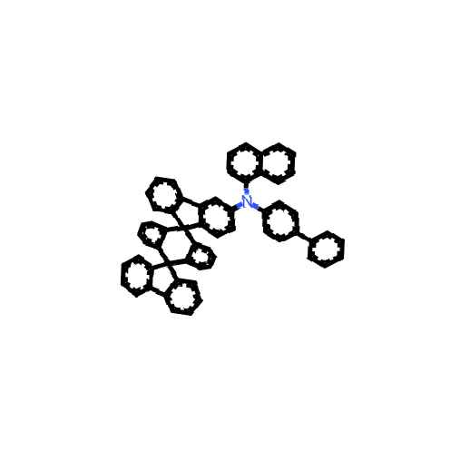 c1ccc(-c2ccc(N(c3ccc4c(c3)-c3ccccc3C43c4ccccc4C4(c5ccccc5-c5ccccc54)c4ccccc43)c3cccc4ccccc34)cc2)cc1